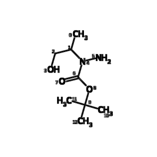 CC(CO)N(N)C(=O)OC(C)(C)C